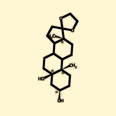 C[C@]12CCC3C(CC[C@@]4(O)C[C@@H](O)CC[C@]34C)C1CCC21OCCO1